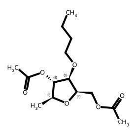 CCCCO[C@@H]1[C@@H](OC(C)=O)[C@H](C)O[C@@H]1COC(C)=O